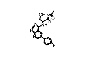 Cc1nc(C(CO)Nc2ncnc3ncc(-c4ccc(F)cc4)cc23)no1